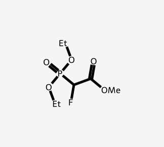 CCOP(=O)(OCC)C(F)C(=O)OC